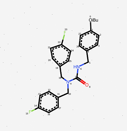 CC(C)COc1ccc(CNC(=O)N(Cc2ccc(F)cc2)Cc2ccc(F)cc2)cc1